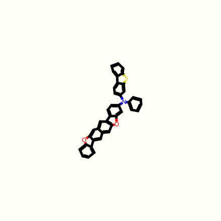 c1ccc(N(c2ccc3c(c2)oc2cc4cc5c(cc4cc23)oc2ccccc25)c2ccc3c(c2)sc2ccccc23)cc1